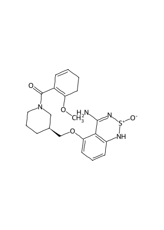 COC1=C(C(=O)N2CCC[C@H](COc3cccc4c3C(N)=N[S+]([O-])N4)C2)C=CCC1